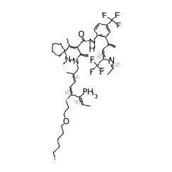 C=C(/C=C(\N=C/C)C(F)(F)F)c1cc(C(F)(F)F)ccc1NC(=O)C1=C(C)C2(CCCC2)N(C)N(C/C(C)=C/C=C(CCCOCCCCCC)\C(P)=C\C)C1=C